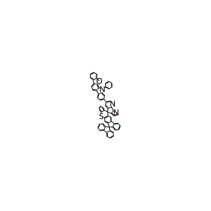 c1ccc(-n2c3cc(-c4cnc5c(c4)C4(c6ccccc6Sc6cc7c(cc64)-c4ccccc4C74c6ccccc6-c6ccccc64)c4cccnc4-5)ccc3c3ccc4c5ccccc5oc4c32)cc1